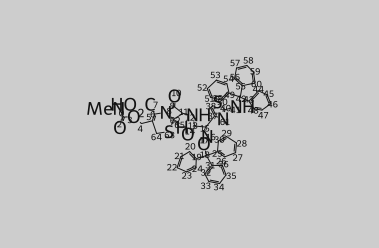 CNC(=O)OCC1=C(C(=O)O)N2C(=O)C(NC(=O)/C(=N\OC(c3ccccc3)(c3ccccc3)c3ccccc3)c3csc(NC(c4ccccc4)(c4ccccc4)c4ccccc4)n3)[C@@H]2SC1